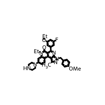 CCOc1cc(F)cc(-c2nc3c(c(C)nn3Cc3ccc(OC)cc3)c3c2c(=O)n(CC)c2cc(N4CCNCC4)ccc32)c1